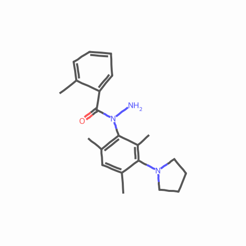 Cc1ccccc1C(=O)N(N)c1c(C)cc(C)c(N2CCCC2)c1C